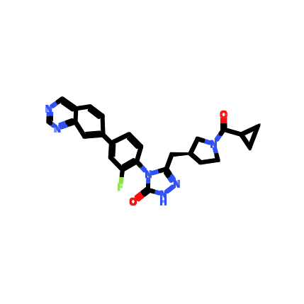 O=C(C1CC1)N1CC[C@@H](Cc2n[nH]c(=O)n2-c2ccc(-c3ccc4cncnc4c3)cc2F)C1